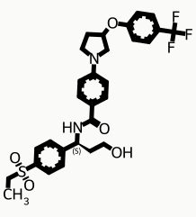 CCS(=O)(=O)c1ccc([C@H](CCO)NC(=O)c2ccc(N3CCC(Oc4ccc(C(F)(F)F)cc4)C3)cc2)cc1